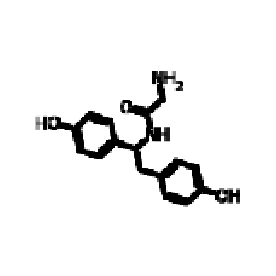 NCC(=O)NC(Cc1ccc(O)cc1)c1ccc(O)cc1